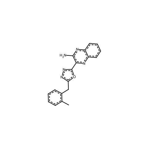 Cc1ccccc1Cc1nnc(-c2nc3ccccc3nc2N)o1